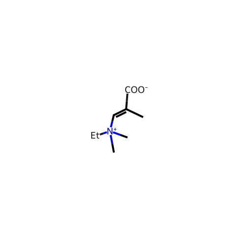 CC[N+](C)(C)C=C(C)C(=O)[O-]